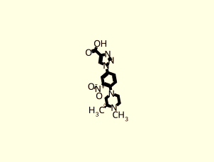 C[C@H]1CN(c2ccc(-n3cc(C(=O)O)nn3)cc2[N+](=O)[O-])CCN1C